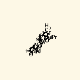 Cc1cc2c(c(OC(C)C)c1F)C(=O)N1C[C@@H](Oc3ncc4c(c3Cl)NC(=O)C(F)C4)C[C@@H]1CO2